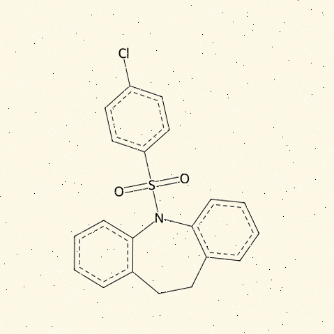 O=S(=O)(c1ccc(Cl)cc1)N1c2ccccc2CCc2ccccc21